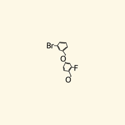 O=Cc1ccc(OCc2cccc(Br)c2)cc1F